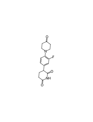 O=C1CCN(c2ccc(C3CCC(=O)NC3=O)cc2F)CC1